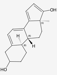 C[C@]12CC[C@H]3C(=CC=C4CC(O)CC[C@@H]43)C1=CC=C2O